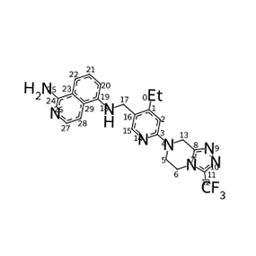 CCc1cc(N2CCn3c(nnc3C(F)(F)F)C2)ncc1CNc1cccc2c(N)nccc12